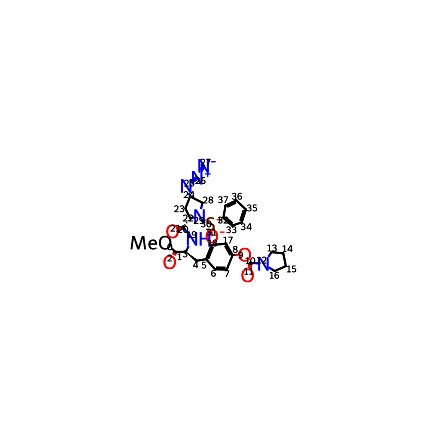 COC(=O)[C@H](Cc1ccc(OC(=O)N2CCCC2)cc1)NC(=O)[C@@H]1C[C@@H](N=[N+]=[N-])CN1[S+]([O-])c1ccccc1